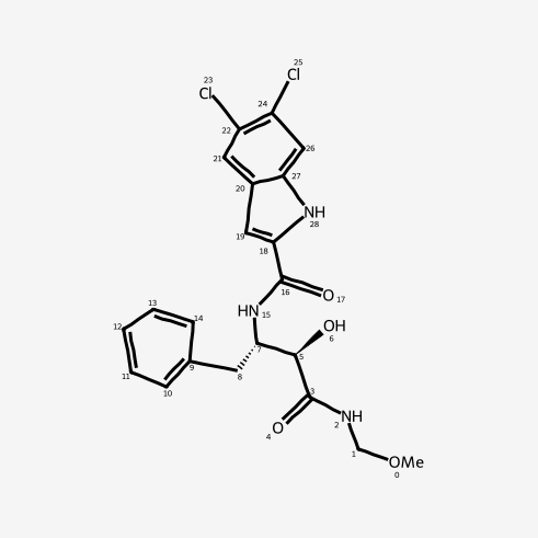 COCNC(=O)[C@H](O)[C@H](Cc1ccccc1)NC(=O)c1cc2cc(Cl)c(Cl)cc2[nH]1